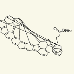 COC(=O)CCCC1(c2ccccc2)CC23c4c5c6c7c8ccc6c6cc9c%10c%11c(cc%12cc%13c%14c%15c(cc%16c%17ccc-8c(c%17c8c2c2c4c(c%10c65)c4c%11c%12c%14c4c2c%15c%168)C713)C%13)C9